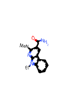 CCn1c2ccccc2c2cc(C(N)=O)c(NC)nc21